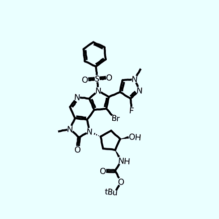 Cn1cc(-c2c(Br)c3c(ncc4c3n([C@@H]3C[C@@H](O)[C@@H](NC(=O)OC(C)(C)C)C3)c(=O)n4C)n2S(=O)(=O)c2ccccc2)c(F)n1